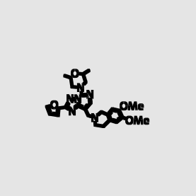 COc1cc2c(cc1OC)CN(Cc1cnc(N3CC(C)OC(C)C3)n3nc(-c4ccco4)nc13)CC2